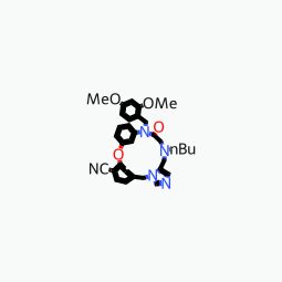 CCCCN1CC(=O)N(Cc2ccc(OC)cc2OC)c2cccc(c2)Oc2cc(ccc2C#N)Cn2cncc2C1